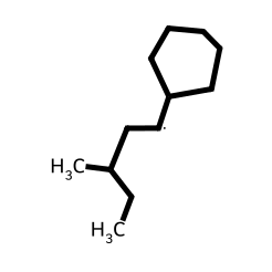 CCC(C)C[CH]C1CCCCC1